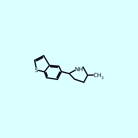 CC1CCC(c2ccc3sccc3c2)NC1